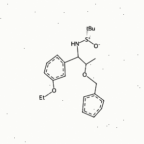 CCOc1cccc(C(N[S@@+]([O-])C(C)(C)C)C(C)OCc2ccccc2)c1